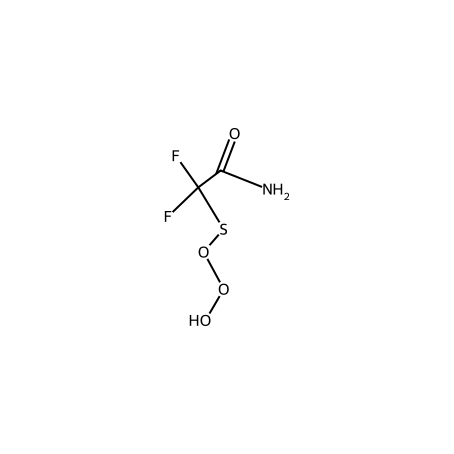 NC(=O)C(F)(F)SOOO